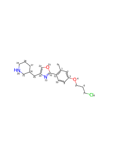 Cc1cc(OCCCCl)ccc1-c1nc(CC2CCCNC2)co1